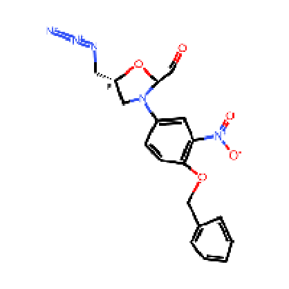 [N-]=[N+]=NC[C@H]1CN(c2ccc(OCc3ccccc3)c([N+](=O)[O-])c2)C(C=O)O1